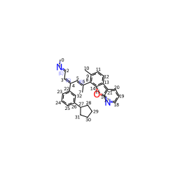 C/N=C/C=C(\C=C(/C)c1c(C)ccc2c1oc1ncccc12)c1cccc(C2CCCC2)c1